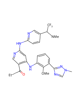 CCC(=O)c1cnc(Nc2ccc(C(NC)C(F)(F)F)cn2)cc1Nc1cccc(-c2ncn(C)n2)c1OC